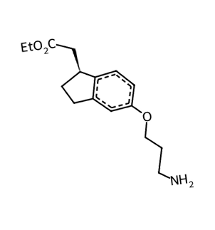 CCOC(=O)C[C@@H]1CCc2cc(OCCCN)ccc21